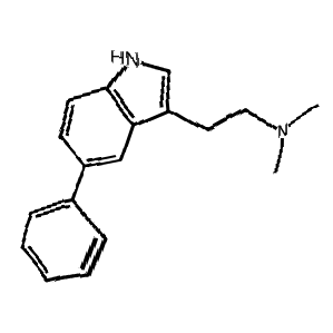 CN(C)CCc1c[nH]c2ccc(-c3ccccc3)cc12